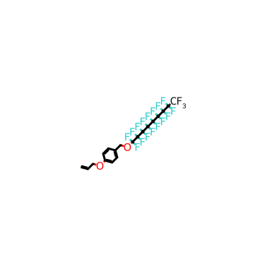 C=CCOc1ccc(COC(F)(F)C(F)(F)C(F)(F)C(F)(F)C(F)(F)C(F)(F)C(F)(F)C(F)(F)C(F)(F)F)cc1